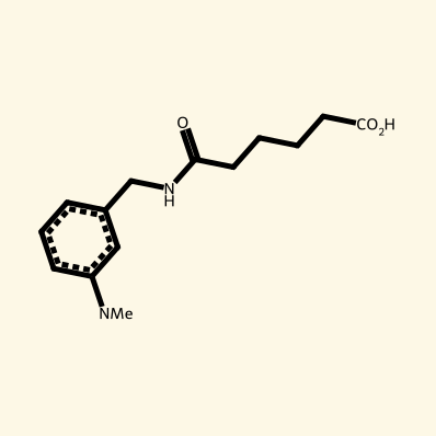 CNc1cccc(CNC(=O)CCCCC(=O)O)c1